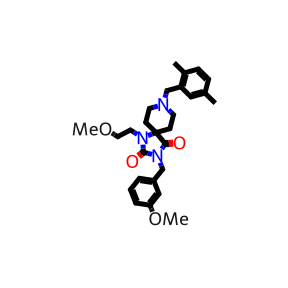 COCCN1C(=O)N(Cc2cccc(OC)c2)C(=O)C12CCN(Cc1cc(C)ccc1C)CC2